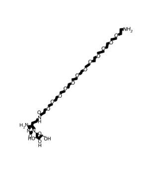 NCCOCCOCCOCCOCCOCCOCCOCCOCCOCCOCCOCCOCCC(=O)NCCCc1cn([C@@H]2O[C@H](CO)C(O)[C@@H]2O)c(=O)nc1N